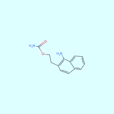 NC(=O)OCCc1ccc2ccccc2c1N